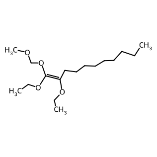 CCCCCCCCCC(OCC)=C(OCC)OCOC